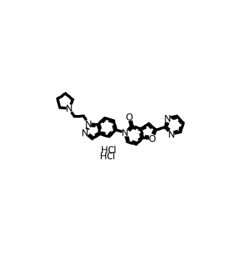 Cl.Cl.O=c1c2cc(-c3ncccn3)oc2ccn1-c1ccc2c(cnn2CCN2CCCC2)c1